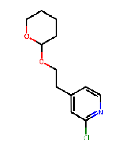 Clc1cc(CCOC2CCCCO2)ccn1